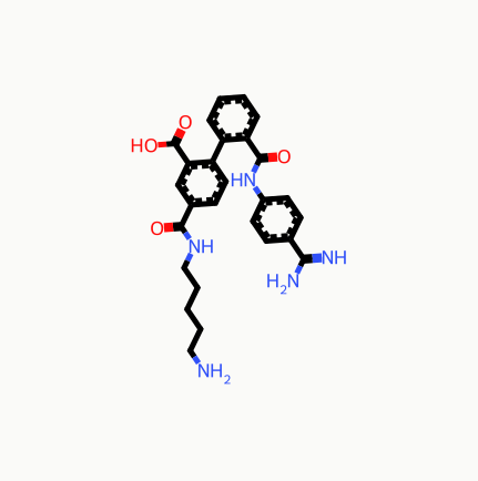 N=C(N)c1ccc(NC(=O)c2ccccc2-c2ccc(C(=O)NCCCCCN)cc2C(=O)O)cc1